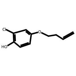 C=CCCOc1ccc(O)c(Cl)c1